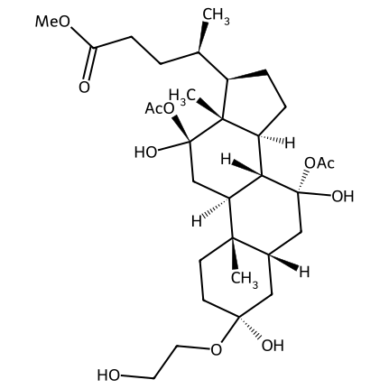 COC(=O)CC[C@@H](C)[C@H]1CC[C@H]2[C@H]3[C@H](C[C@@](O)(OC(C)=O)[C@]12C)[C@@]1(C)CC[C@](O)(OCCO)C[C@H]1C[C@@]3(O)OC(C)=O